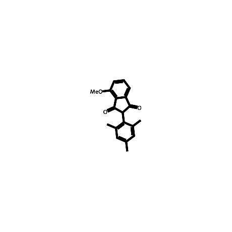 COc1cccc2c1C(=O)C(c1c(C)cc(C)cc1C)C2=O